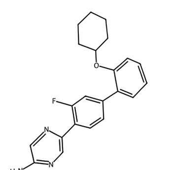 Nc1cnc(-c2ccc(-c3ccccc3OC3CCCCC3)cc2F)cn1